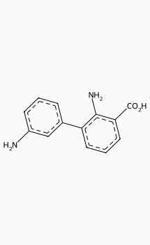 Nc1cccc(-c2cccc(C(=O)O)c2N)c1